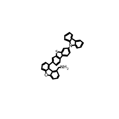 NCc1cccc2oc3cccc(-c4ccc5c(c4)sc4cc(-n6c7ccccc7c7ccccc76)ccc45)c3c12